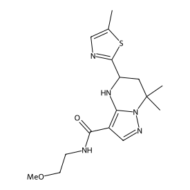 COCCNC(=O)c1cnn2c1NC(c1ncc(C)s1)CC2(C)C